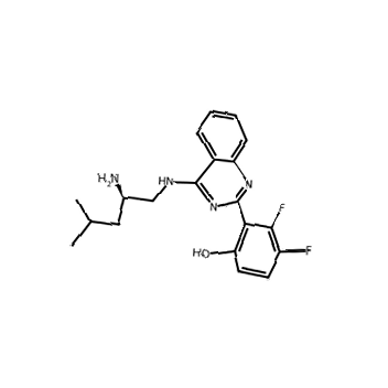 CC(C)C[C@@H](N)CNc1nc(-c2c(O)ccc(F)c2F)nc2ccccc12